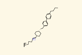 CCCCc1ccc(-c2ccc(CC[C@H]3CC[C@H](/C=C/CCCF)CC3)cc2)cc1